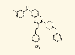 Cc1cc(Nc2ccc(CN(C(=O)/C=C/c3ccc(C(F)(F)F)cc3)C3CCN(Cc4cccnc4)CC3)cc2)ccn1